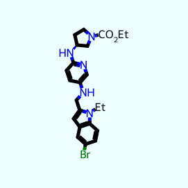 CCOC(=O)N1CC[C@H](Nc2ccc(NCc3cc4cc(Br)ccc4n3CC)cn2)C1